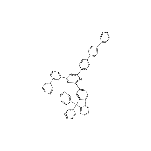 c1ccc(-c2ccc(-c3ccc(-c4nc(-c5cccc(-c6ccccc6)c5)nc(-c5ccc6c(c5)C(c5ccccc5)(c5ccccc5)c5ccccc5-6)n4)cc3)cc2)cc1